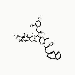 CCc1nc(N)[nH]c1CCC[C@H]1CN(C(=O)Cc2ccc3ccccc3c2)[C@H](C)CN1C(=O)[C@H](N)Cc1ccc(Cl)cc1Cl